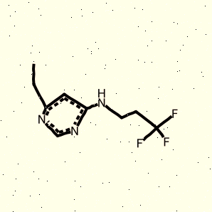 CCc1cc(NCCC(F)(F)F)ncn1